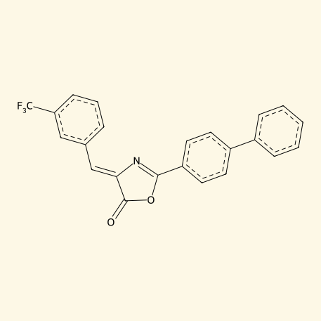 O=C1OC(c2ccc(-c3ccccc3)cc2)=N/C1=C\c1cccc(C(F)(F)F)c1